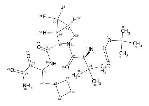 CC(C)(C)OC(=O)N[C@H](C(=O)N1C[C@H]2[C@@H]([C@H]1C(=O)NC(CC1CCC1)C(=O)C(N)=O)C2(F)F)C(C)(C)C